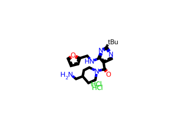 CC(C)(C)c1ncc(C(=O)N2CCC(CN)CC2)c(NCc2ccco2)n1.Cl.Cl